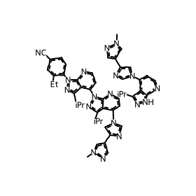 CC(C)c1n[nH]c2nccc(-n3cnc(-c4cnn(C)c4)c3)c12.CCc1cc(C#N)ccc1-n1nc(C(C)C)c2c(-n3nc(C(C)C)c4c(-n5cnc(-c6cnn(C)c6)c5)ccnc43)ccnc21